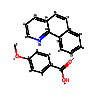 COc1ccc(C(=O)O)cc1.c1ccc2c(c1)ccc1cccnc12